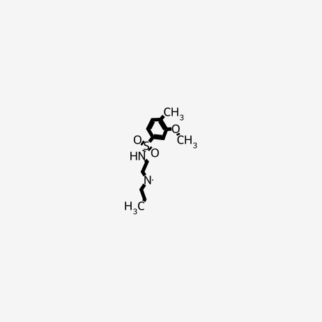 CCC[N]CCNS(=O)(=O)c1ccc(C)c(OC)c1